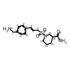 NCc1ccc(C=CCS(=O)(=O)N2CCCC(C(N)=O)C2)cc1